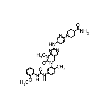 COc1ccccc1NC(=O)Nc1ccc(C)c(N2Cc3cnc(Nc4ccc(N5CCC(C(N)=O)CC5)nc4)nc3N(C)C2=O)c1